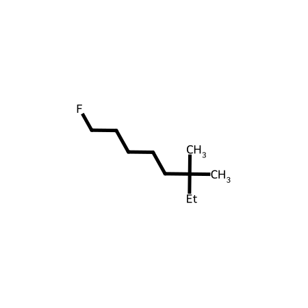 CCC(C)(C)CCCCCF